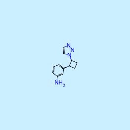 Nc1cccc([C@@H]2CC[C@@H]2n2ccnn2)c1